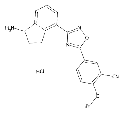 CC(C)Oc1ccc(-c2nc(-c3cccc4c3CCC4N)no2)cc1C#N.Cl